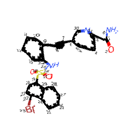 NC(=O)c1ccc(C#Cc2ccccc2NS(=O)(=O)c2ccc(Br)c3ccccc23)cn1